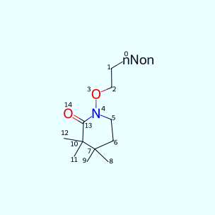 CCCCCCCCCCCON1CCC(C)(C)C(C)(C)C1=O